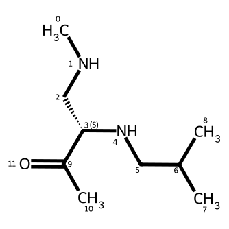 CNC[C@H](NCC(C)C)C(C)=O